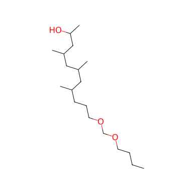 CCCCOCOCCCC(C)CC(C)CC(C)CC(C)O